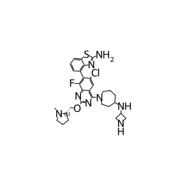 CN1CCC[C@H]1COc1nc(N2CCCC(NC3CNC3)CC2)c2cc(Cl)c(-c3cccc4sc(N)nc34)c(F)c2n1